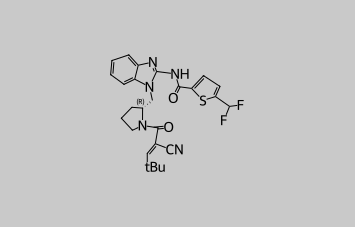 CC(C)(C)C=C(C#N)C(=O)N1CCC[C@@H]1Cn1c(NC(=O)c2ccc(C(F)F)s2)nc2ccccc21